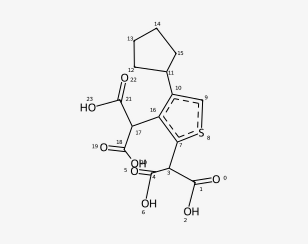 O=C(O)C(C(=O)O)c1scc(C2CCCC2)c1C(C(=O)O)C(=O)O